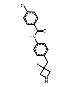 O=C(Nc1ccc(CC2(F)CNC2)cc1)c1ccc(Cl)cc1